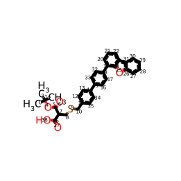 CC(C)(C)OC(=O)C(CSCc1ccc(-c2ccc(-c3cccc4c3oc3ccccc34)cc2)cc1)C(=O)O